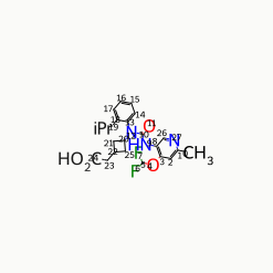 Cc1cc(OC(F)F)c(NC(=O)N(c2ccccc2C(C)C)C2CC(CC(=O)O)C2)cn1